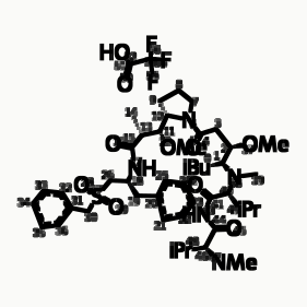 CC[C@H](C)[C@@H]([C@@H](CC(=O)N1CCC[C@H]1[C@H](OC)[C@@H](C)C(=O)N[C@@H](Cc1ccccc1)CS(=O)(=O)Cc1ccccc1)OC)N(C)[C@H](C(=O)NC(=O)[C@@H](NC)C(C)C)C(C)C.O=C(O)C(F)(F)F